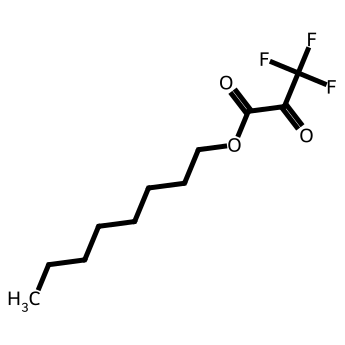 CCCCCCCCOC(=O)C(=O)C(F)(F)F